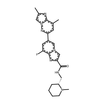 Cc1cn2nc(-c3cc(F)c4nc(C(=O)NC[C@H]5CCCCN5C)cn4c3)cc(C)c2n1